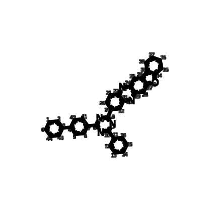 c1ccc(-c2ccc(-c3nc(-c4ccccc4)nc(-c4ccc5nc6cc7c(cc6nc5c4)oc4ccccc47)n3)cc2)cc1